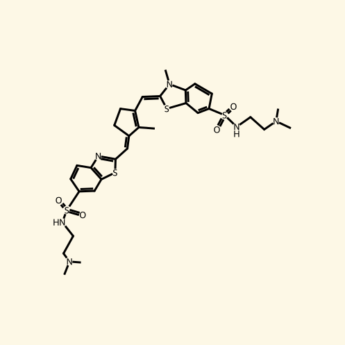 CC1=C(/C=C2\Sc3cc(S(=O)(=O)NCCN(C)C)ccc3N2C)CC/C1=C\c1nc2ccc(S(=O)(=O)NCCN(C)C)cc2s1